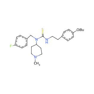 CC(C)COc1ccc(CCNC(=S)N(Cc2ccc(F)cc2)C2CCN(C)CC2)cc1